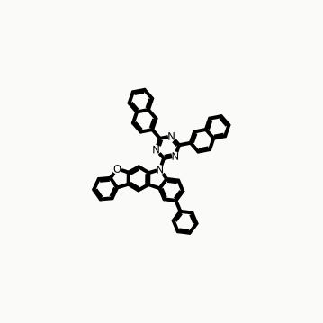 c1ccc(-c2ccc3c(c2)c2cc4c(cc2n3-c2nc(-c3ccc5ccccc5c3)nc(-c3ccc5ccccc5c3)n2)oc2ccccc24)cc1